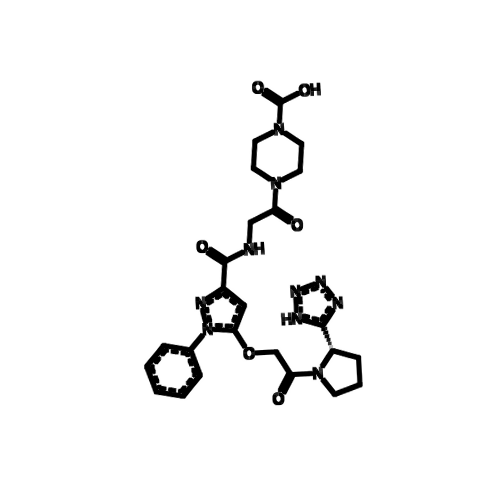 O=C(NCC(=O)N1CCN(C(=O)O)CC1)c1cc(OCC(=O)N2CCC[C@H]2c2nnn[nH]2)n(-c2ccccc2)n1